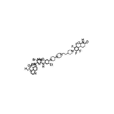 CCc1cc(Nc2ncc(Br)c(Nc3ccc4nccnc4c3P(C)(C)=O)n2)c(OC)cc1N1CCC(N2CCN(CCC3CCN(c4c(F)c(F)c(C5CCC(=O)NC5=O)c(F)c4F)CC3)CC2)CC1